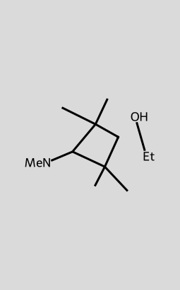 CCO.CNC1C(C)(C)CC1(C)C